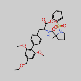 CCOCc1cc(OC)c(-c2ccc(CC(NC(=O)C3(C)CCCN3S(=O)(=O)c3ccccc3)C(=O)O)cc2)c(OC)c1